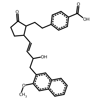 COc1cc2ccccc2cc1CC(O)C=CC1CCC(=O)C1CCc1ccc(C(=O)O)cc1